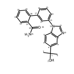 CC(C)(O)c1ccc2c(c1)ncn2-c1cccc(-c2ccccc2C(N)=O)c1